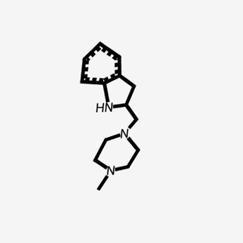 CN1CCN(CC2Cc3ccccc3N2)CC1